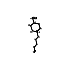 CC(C)(C)C1CCN(CCCCF)CC1